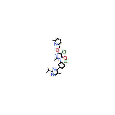 Cc1cccc(COc2nc(C)n(-c3cc(-c4nc(C(C)C)ncc4C)ccc3Cl)c(=O)c2Cl)n1